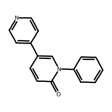 O=c1ccc(-c2ccncc2)cn1-c1ccccc1